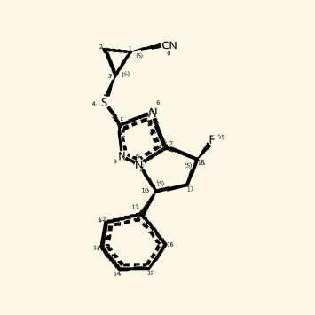 N#C[C@@H]1C[C@@H]1Sc1nc2n(n1)[C@H](c1ccccc1)C[C@@H]2F